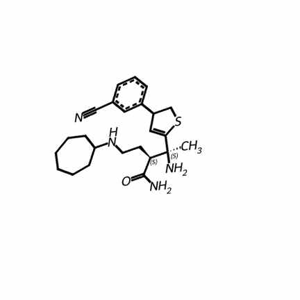 C[C@@](N)(C1=CC(c2cccc(C#N)c2)CS1)[C@H](CCNC1CCCCCC1)C(N)=O